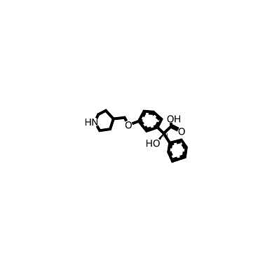 O=C(O)[C@](O)(c1ccccc1)c1cccc(OCC2CCNCC2)c1